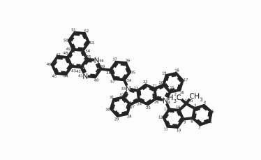 CC1(C)c2ccccc2-c2cccc(-n3c4ccccc4c4cc5c(cc43)c3ccccc3n5-c3cccc(-c4cnc5c6ccccc6c6ccccc6c5n4)c3)c21